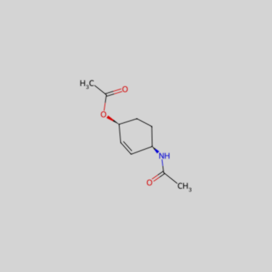 CC(=O)N[C@H]1C=C[C@@H](OC(C)=O)CC1